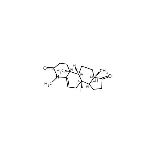 CN1C(=O)CC[C@@]2(C)C1=CC[C@@H]1[C@H]2CC[C@]2(C)C(=O)CC[C@@H]12